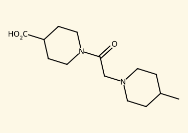 CC1CCN(CC(=O)N2CCC(C(=O)O)CC2)CC1